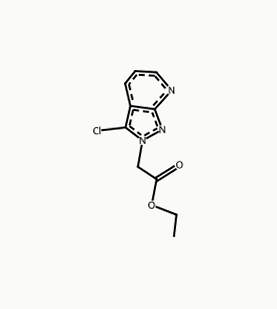 CCOC(=O)Cn1nc2ncccc2c1Cl